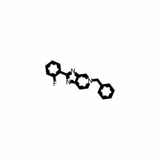 Fc1ccccc1-c1nc2ccn(Cc3ccccc3)cc-2n1